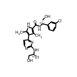 CC[C@@H](CO)Nc1nccc(-c2c(C)[nH]c(C(=O)N[C@H](CO)c3cccc(Cl)c3)c2C)n1